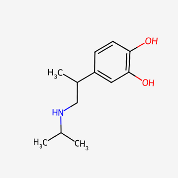 CC(C)NCC(C)c1ccc(O)c(O)c1